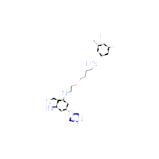 OCc1cc(F)cc(CNCCCCOCCNc2cc(-n3cnnc3)cc3[nH]ncc23)c1